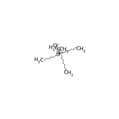 CCCCCCCC[P+](CCCCCCCC)(CCCCCCCC)C[SiH](C)C.[Cl-]